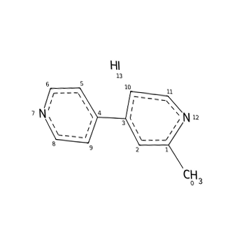 Cc1cc(-c2ccncc2)ccn1.I